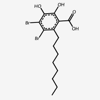 CCCCCCCCc1c(Br)c(Br)c(O)c(O)c1C(=O)O